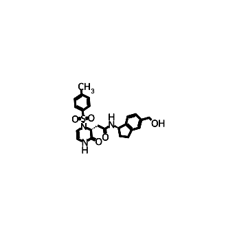 Cc1ccc(S(=O)(=O)N2C=CNC(=O)[C@H]2CC(=O)N[C@@H]2CCc3cc(CO)ccc32)cc1